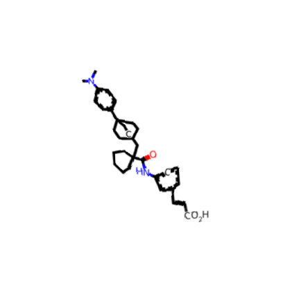 CN(C)c1ccc(C23CCC(CC4(C(=O)Nc5cccc(/C=C/C(=O)O)c5)CCCCC4)(CC2)CC3)cc1